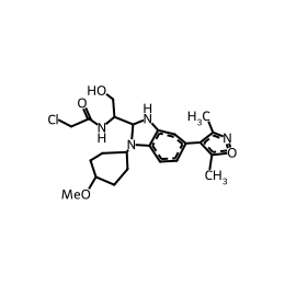 COC1CCC(N2c3ccc(-c4c(C)noc4C)cc3NC2C(CO)NC(=O)CCl)CC1